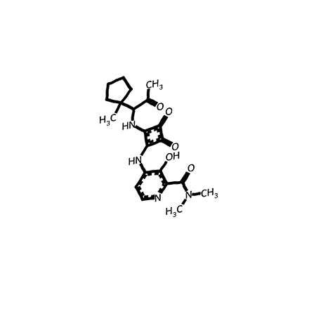 CC(=O)C(Nc1c(Nc2ccnc(C(=O)N(C)C)c2O)c(=O)c1=O)C1(C)CCCC1